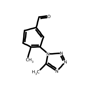 Cc1ccc(C=O)cc1-n1nnnc1C